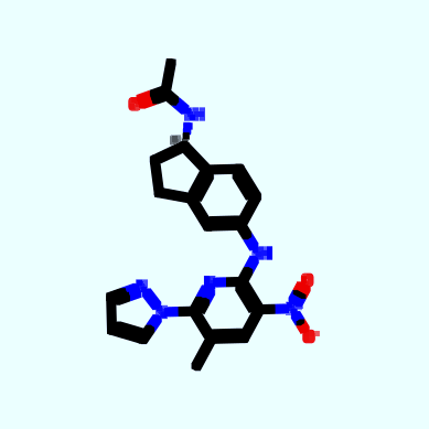 CC(=O)N[C@H]1CCc2cc(Nc3nc(-n4cccn4)c(C)cc3[N+](=O)[O-])ccc21